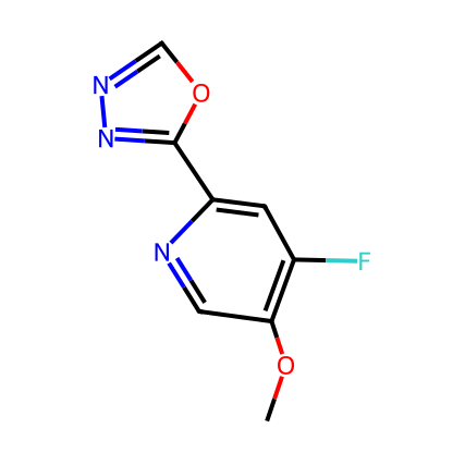 COc1cnc(-c2nnco2)cc1F